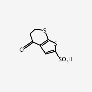 O=C1CCSc2sc(S(=O)(=O)O)cc21